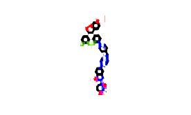 O=C1CC[C@H](N2Cc3cc(N4CCN(CC5CCN(c6ccc([C@H]7c8ccc(O)cc8OC[C@H]7c7ccc(F)c(F)c7)cc6F)CC5)CC4)ccc3C2=O)C(=O)N1